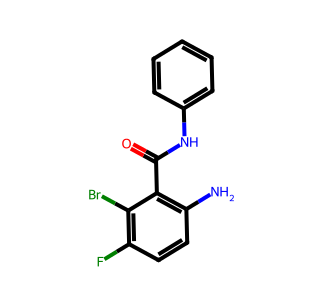 Nc1ccc(F)c(Br)c1C(=O)Nc1ccccc1